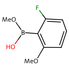 COB(O)c1c(F)cccc1OC